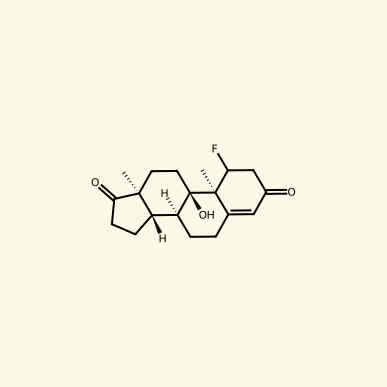 C[C@]12CC[C@@]3(O)[C@@H](CCC4=CC(=O)CC(F)[C@@]43C)[C@@H]1CCC2=O